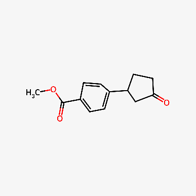 COC(=O)c1ccc(C2CCC(=O)C2)cc1